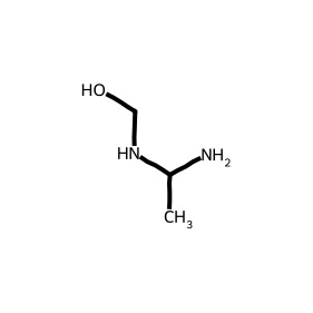 CC(N)NCO